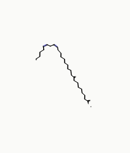 CCCCC/C=C\C/C=C\CCCCCCCCCC(=O)CCCCCCCC(=O)OC